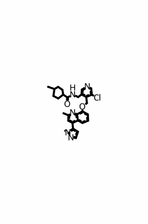 Cc1cc(-c2ccnn2C)c2cccc(OCc3c(Cl)cncc3CNC(=O)C3CCC(C)CC3)c2n1